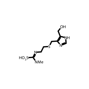 CN/C(=N\CCSCc1nc[nH]c1CO)S(=O)(=O)O